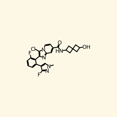 Cn1cc(-c2cccc(F)c2-c2nc3cc(C(=O)NC4CC5(CC(O)C5)C4)ccn3c2Cl)c(F)n1